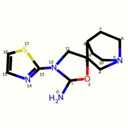 NC1OC2(CN3CCC2CC3)CN1c1nccs1